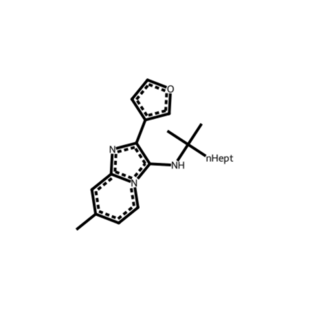 CCCCCCCC(C)(C)Nc1c(-c2ccoc2)nc2cc(C)ccn12